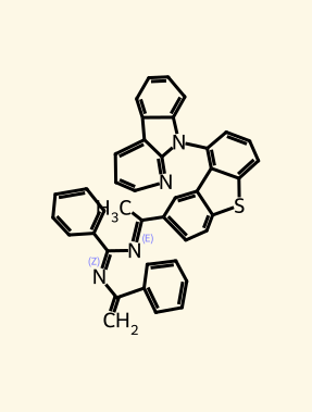 C=C(/N=C(\N=C(/C)c1ccc2sc3cccc(-n4c5ccccc5c5cccnc54)c3c2c1)c1ccccc1)c1ccccc1